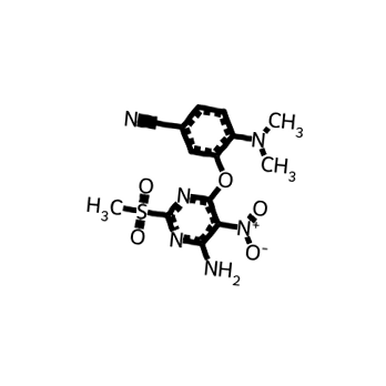 CN(C)c1ccc(C#N)cc1Oc1nc(S(C)(=O)=O)nc(N)c1[N+](=O)[O-]